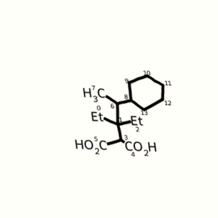 CCC(CC)(C(C(=O)O)C(=O)O)C(C)C1CCCCC1